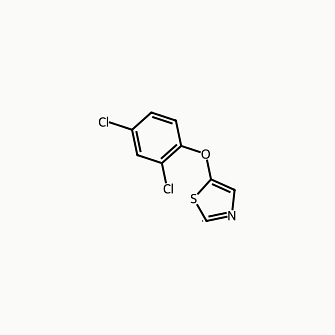 Clc1ccc(Oc2cn[c]s2)c(Cl)c1